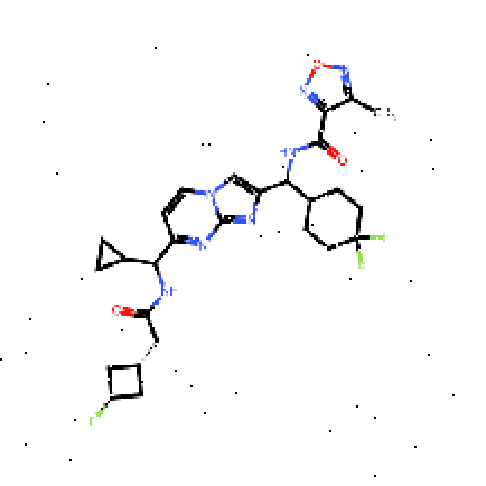 Cc1nonc1C(=O)N[C@H](c1cn2ccc(C(NC(=O)C[C@H]3C[C@H](F)C3)C3CC3)nc2n1)C1CCC(F)(F)CC1